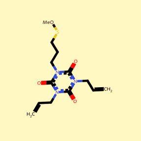 C=CCn1c(=O)n(CC=C)c(=O)n(CCCSOC)c1=O